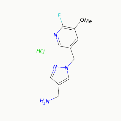 COc1cc(Cn2cc(CN)cn2)cnc1F.Cl